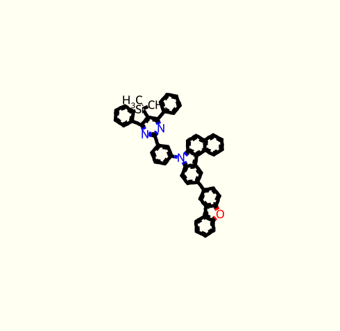 C[Si]1(C)c2ccccc2-c2nc(-c3cccc(-n4c5ccc(-c6ccc7oc8ccccc8c7c6)cc5c5c6ccccc6ccc54)c3)nc(-c3ccccc3)c21